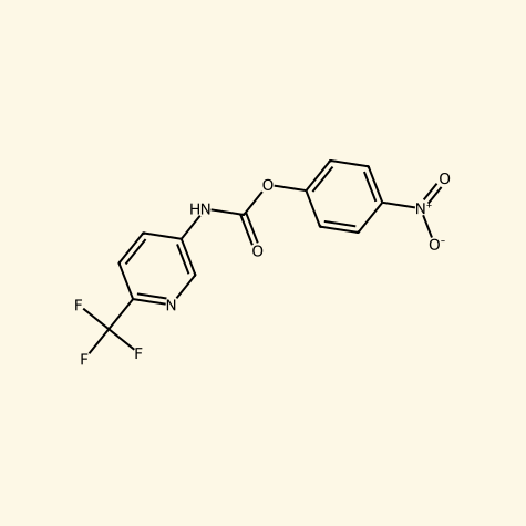 O=C(Nc1ccc(C(F)(F)F)nc1)Oc1ccc([N+](=O)[O-])cc1